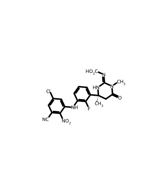 CN1C(=O)C[C@@](C)(c2cccc(Nc3cc(Cl)cc(C#N)c3[N+](=O)[O-])c2F)N/C1=N\C(=O)O